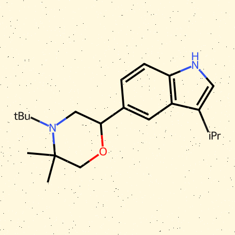 CC(C)c1c[nH]c2ccc(C3CN(C(C)(C)C)C(C)(C)CO3)cc12